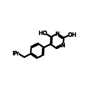 CC(C)Cc1ccc(-c2cnc(O)nc2O)cc1